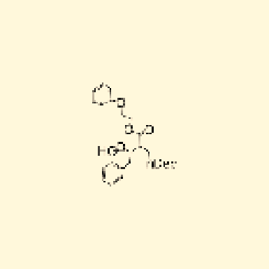 CCCCCCCCCCCC(C(=O)OCCOc1ccccc1)C(Cc1ccccc1)OO